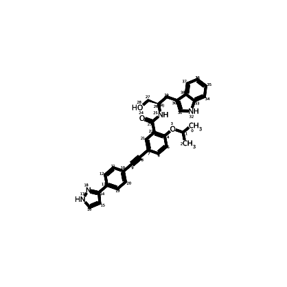 CC(C)Oc1ccc(C#Cc2ccc(-c3cc[nH]n3)cc2)cc1C(=O)N[C@@H](CO)Cc1c[nH]c2ccccc12